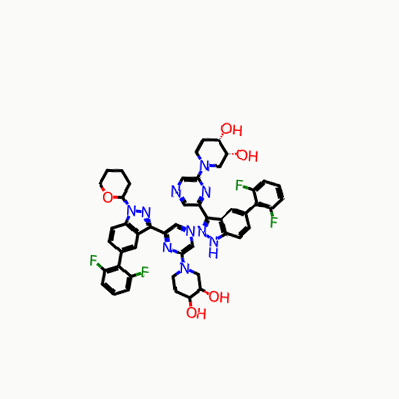 OC1CCN(c2cncc(-c3nn(C4CCCCO4)c4ccc(-c5c(F)cccc5F)cc34)n2)CC1O.O[C@@H]1CN(c2cncc(-c3n[nH]c4ccc(-c5c(F)cccc5F)cc34)n2)CC[C@@H]1O